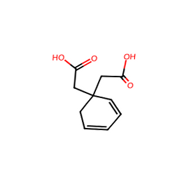 O=C(O)CC1(CC(=O)O)C=CC=CC1